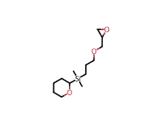 C[Si](C)(CCCOCC1CO1)C1CCCCO1